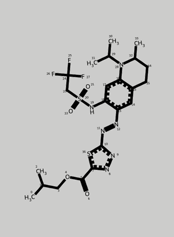 CC(C)COC(=O)c1nnc(N=Nc2cc3c(cc2NS(=O)(=O)CC(F)(F)F)N(C(C)C)C(C)CC3)s1